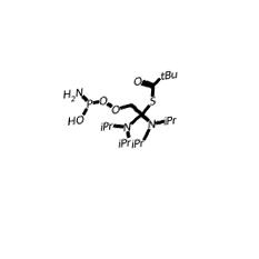 CC(C)N(C(C)C)C(COOP(N)O)(SC(=O)C(C)(C)C)N(C(C)C)C(C)C